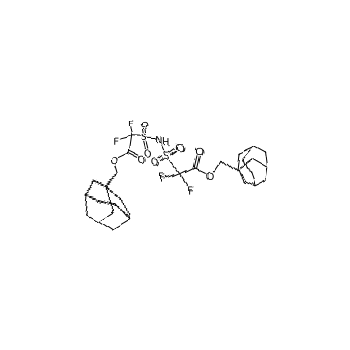 O=C(OCC12CC3CC(CC(C3)C1)C2)C(F)(F)S(=O)(=O)NS(=O)(=O)C(F)(F)C(=O)OCC12CC3CC(CC(C3)C1)C2